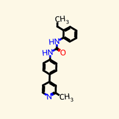 CCc1ccccc1NC(=O)Nc1ccc(-c2ccnc(C)c2)cc1